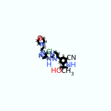 C[C@]1(CO)CNc2c(C#N)cc(-c3ccnc(Nc4cnn(CCN5CCOCC5)c4Cl)n3)cc21